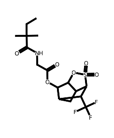 CCC(C)(C)C(=O)NCC(=O)OC1C2CC3C1OS(=O)(=O)C3C2C(F)(F)F